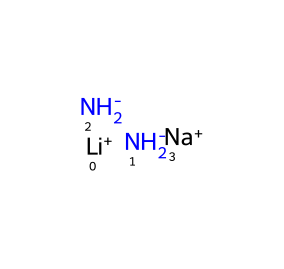 [Li+].[NH2-].[NH2-].[Na+]